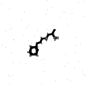 CC(O)COCCCc1ccccc1